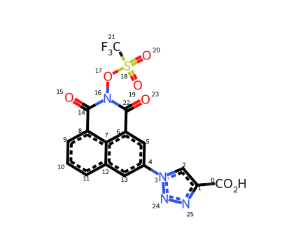 O=C(O)c1cn(-c2cc3c4c(cccc4c2)C(=O)N(OS(=O)(=O)C(F)(F)F)C3=O)nn1